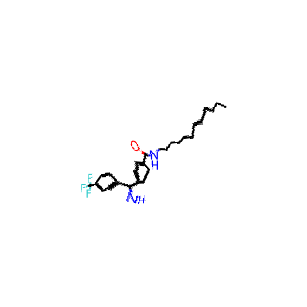 CCCCCCCCCCCCNC(=O)c1ccc(C([NH])c2ccc(C(F)(F)F)cc2)cc1